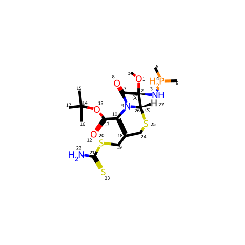 CO[C@@]1(N[PH2](C)C)C(=O)N2C(C(=O)OC(C)(C)C)=C(CSC(N)=S)CS[C@H]21